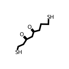 O=C(CCS)CC(=O)CCCS